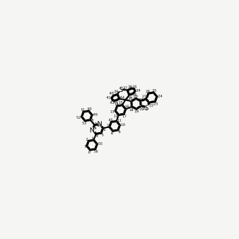 c1ccc(-c2cc(-c3cccc(-c4ccc5c(c4)-c4cc6sc7ccccc7c6cc4C54c5ccccc5Sc5ccccc54)c3)nc(-c3ccccc3)n2)cc1